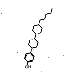 CCCCC[C@H]1CC[C@H]([C@H]2CC[C@H](c3ccc(O)cc3)CC2)CC1